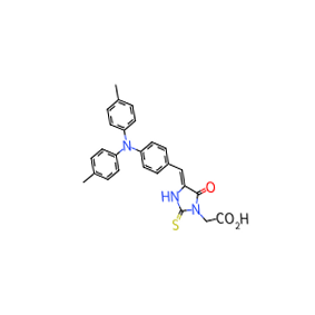 Cc1ccc(N(c2ccc(C)cc2)c2ccc(/C=C3\NC(=S)N(CC(=O)O)C3=O)cc2)cc1